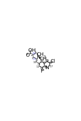 C=N/C(=C\C(=C/C)C(=O)O)Cc1cc(F)c2ncc(Cl)cc2c1